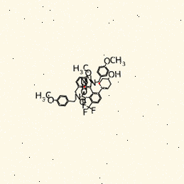 COc1ccc(CN(Cc2ccc(OC)cc2)S(=O)(=O)c2c(C(F)(F)F)ccc(C3=CCC(O)CC3)c2-c2nnnn2Cc2ccc(OC)cc2)cc1